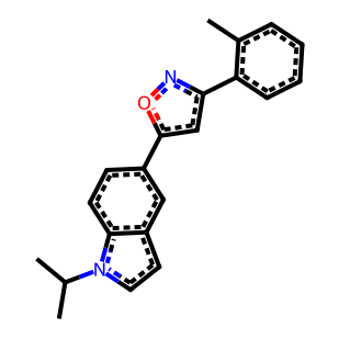 Cc1ccccc1-c1cc(-c2ccc3c(ccn3C(C)C)c2)on1